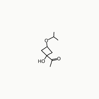 CC(=O)C1(O)CC(OC(C)C)C1